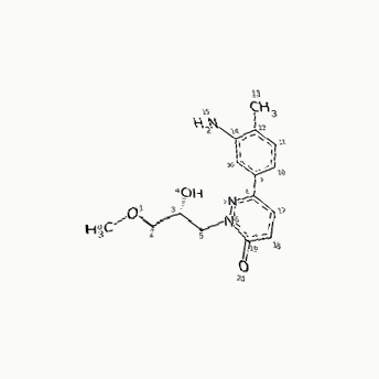 COC[C@H](O)Cn1nc(-c2ccc(C)c(N)c2)ccc1=O